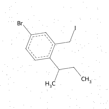 CCC(C)c1ccc(Br)cc1CI